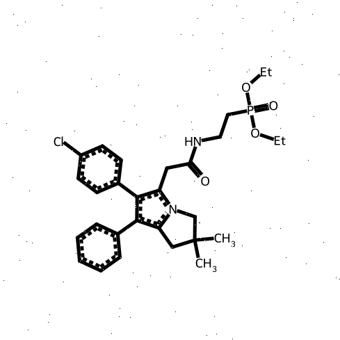 CCOP(=O)(CCNC(=O)Cc1c(-c2ccc(Cl)cc2)c(-c2ccccc2)c2n1CC(C)(C)C2)OCC